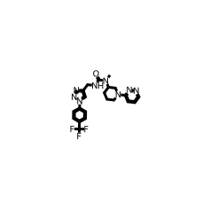 CN(C(=O)NCc1cn(-c2ccc(C(F)(F)F)cc2)nn1)C1CCCN(c2cccnn2)C1